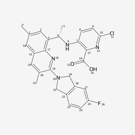 Cc1cc([C@H](C)Nc2ccc(Cl)nc2C(=O)O)c2nc(N3Cc4ccc(F)cc4C3)c(C)cc2c1